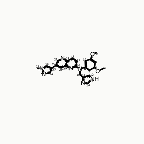 COC1=CC(OC)CC(N(Cc2c[nH]cn2)c2ccc3ncc(-c4cnn(C)c4)cc3n2)=C1